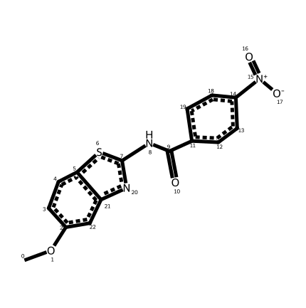 COc1ccc2sc(NC(=O)c3ccc([N+](=O)[O-])cc3)nc2c1